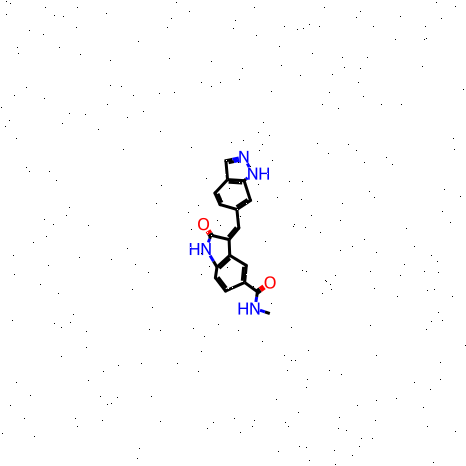 CNC(=O)c1ccc2c(c1)C(=Cc1ccc3cn[nH]c3c1)C(=O)N2